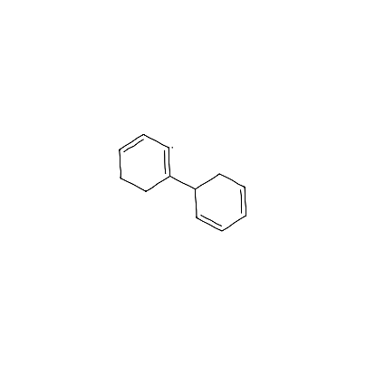 [C]1=C(C2C=CC=CC2)CCC=C1